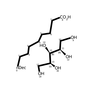 CCCCCCCCCCCCCCCCCC(=O)O.OC[C@@H](O)[C@H](O)[C@@H](O)CO